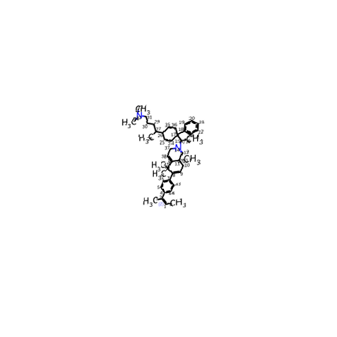 C/C=C(/C)c1ccc(C2=CC[C@]3(C)CN([C@H](C)C4(c5ccccc5)CCC(C(C)CCCN(C)C)CC4)CC=C3C2(C)C)cc1